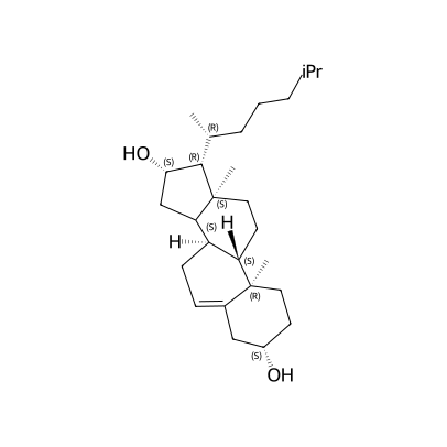 CC(C)CCC[C@@H](C)[C@H]1[C@@H](O)CC2[C@@H]3CC=C4C[C@@H](O)CC[C@]4(C)[C@H]3CC[C@@]21C